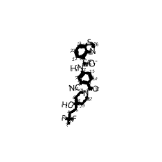 CC(F)(F)CCC1(O)CCN(C(=O)c2ccc(N[S+]([O-])c3cccc4scnc34)cc2C#N)CC1